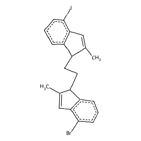 CC1=Cc2c(Br)cccc2C1CCC1C(C)=Cc2c(I)cccc21